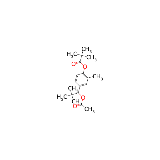 CC(=O)OC(c1ccc(OC(=O)C(C)(C)C)c(C)c1)C(C)(C)C